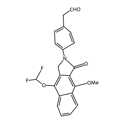 COc1c2c(c(OC(F)F)c3ccccc13)CN(c1ccc(CC=O)cc1)C2=O